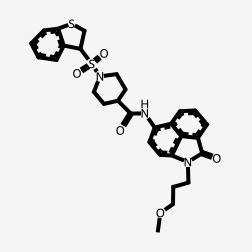 COCCCN1C(=O)c2cccc3c(NC(=O)C4CCN(S(=O)(=O)C5CSc6ccccc65)CC4)ccc1c23